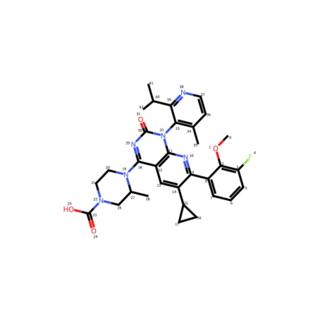 COc1c(F)cccc1-c1nc2c(cc1C1CC1)c(N1CCN(C(=O)O)CC1C)nc(=O)n2-c1c(C)ccnc1C(C)C